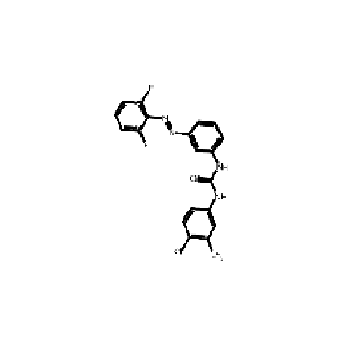 O=C(Nc1cccc(N=Nc2c(F)cccc2F)c1)Nc1ccc(Cl)c(C(F)(F)F)c1